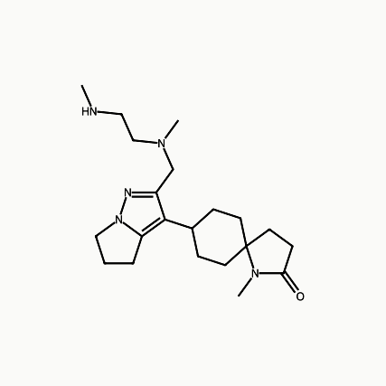 CNCCN(C)Cc1nn2c(c1C1CCC3(CCC(=O)N3C)CC1)CCC2